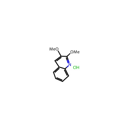 COc1cc2ccccc2nc1OC.Cl